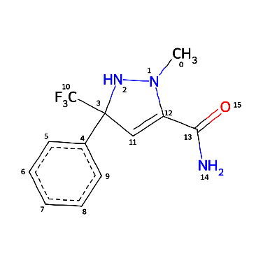 CN1NC(c2ccccc2)(C(F)(F)F)C=C1C(N)=O